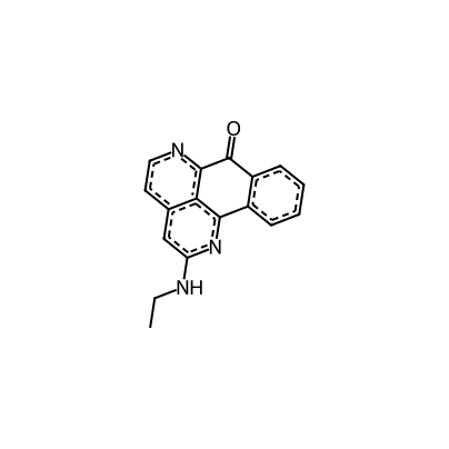 CCNc1cc2ccnc3c2c(n1)-c1ccccc1C3=O